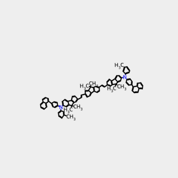 Cc1cccc(N(c2ccc(-c3cccc4ccccc34)cc2)c2ccc3c(c2)C(C)(C)c2cc(/C=C/c4ccc5c(c4)C(C)(C)c4cc(/C=C/c6ccc7c(c6)C(C)(C)c6cc(N(c8ccc(-c9cccc%10ccccc9%10)cc8)c8cccc(C)c8)ccc6-7)ccc4-5)ccc2-3)c1